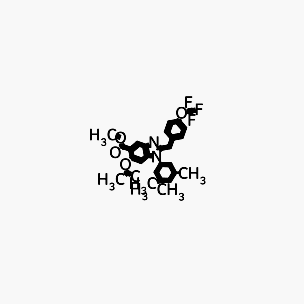 COC(=O)c1cc2nc(Cc3ccc(OC(F)(F)F)cc3)n([C@H]3C[C@@H](C)CC(C)(C)C3)c2cc1OC(C)C